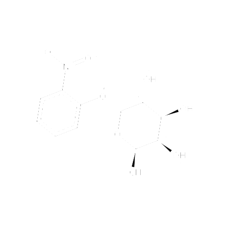 C[C@H]1O[C@H](Oc2ccccc2[N+](=O)[O-])[C@H](O)[C@@H](O)[C@H]1O